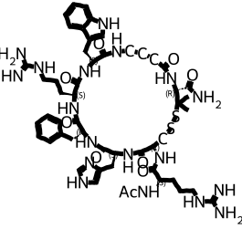 CC(=O)N[C@@H](CCCNC(=N)N)C(=O)N[C@H]1CSSC(C)(C)[C@@H](C(N)=O)NC(=O)CCCNC(=O)[C@H](Cc2c[nH]c3ccccc23)NC(=O)[C@H](CCCNC(=N)N)NC(=O)[C@@H](Cc2ccccc2)NC(=O)[C@H](Cc2c[nH]cn2)NC1=O